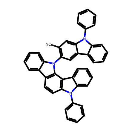 N#Cc1cc2c(cc1-n1c3ccccc3c3ccc4c(c5ccccc5n4-c4ccccc4)c31)c1ccccc1n2-c1ccccc1